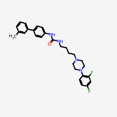 Cc1cccc(-c2ccc(NC(=O)NCCCCN3CCN(c4ccc(F)cc4F)CC3)cc2)c1